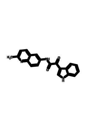 Cc1ccc2cc(NC(=O)C(=O)c3c[nH]c4ccccc34)ccc2n1